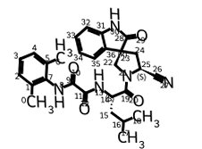 Cc1cccc(C)c1NC(=O)C(=O)N[C@@H](CC(C)C)C(=O)N1C[C@]2(C[C@H]1C#N)C(=O)Nc1ccccc12